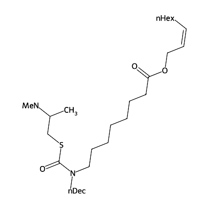 CCCCCC/C=C\COC(=O)CCCCCCCN(CCCCCCCCCC)C(=O)SCC(C)NC